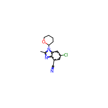 Cc1nc2c(C#N)cc(Cl)cc2n1C1CCCCO1